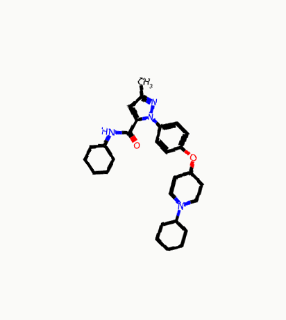 Cc1cc(C(=O)NC2CCCCC2)n(-c2ccc(OC3CCN(C4CCCCC4)CC3)cc2)n1